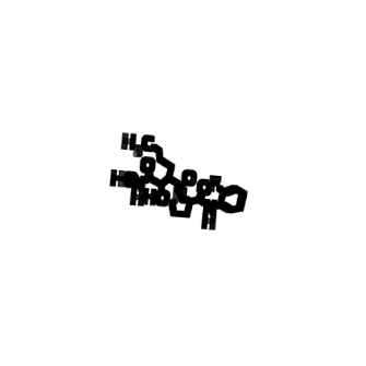 CCCCC(C(=O)N1CCCC1C(=O)Nc1ccccc1F)C(O)C(=O)NO